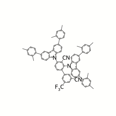 Cc1ccc(-c2ccc3c(c2)c2cc(-c4ccc(C)cc4C)ccc2n3-c2ccc(-c3cc(C#N)cc(C(F)(F)F)c3)c(-n3c4ccc(-c5ccc(C)cc5C)cc4c4cc(-c5ccc(C)cc5C)ccc43)c2C#N)c(C)c1